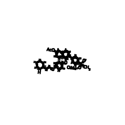 COc1cc(-c2ccc3cc(OC(C)=O)ccc3c2Oc2ccc(OCCC3CCCCN3)cc2)ccc1S(C)(=O)=O